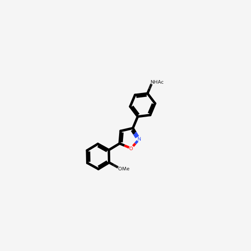 COc1ccccc1-c1cc(-c2ccc(NC(C)=O)cc2)no1